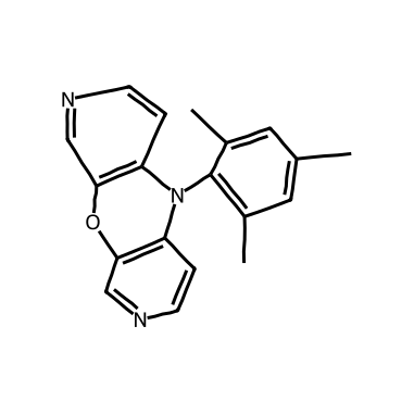 Cc1cc(C)c(N2c3ccncc3Oc3cnccc32)c(C)c1